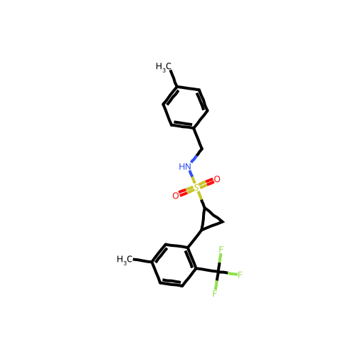 Cc1ccc(CNS(=O)(=O)C2CC2c2cc(C)ccc2C(F)(F)F)cc1